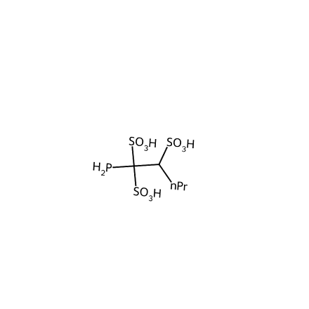 CCCC(C(P)(S(=O)(=O)O)S(=O)(=O)O)S(=O)(=O)O